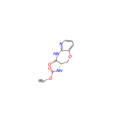 CC(C)(C)OC(=O)N[C@H]1COc2cccnc2NC1=O